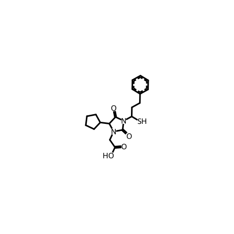 O=C(O)CN1C(=O)N(C(S)CCc2ccccc2)C(=O)C1C1CCCC1